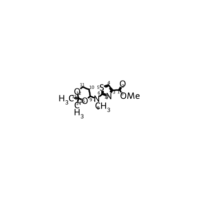 COC(=O)c1csc(N(C)C2CCOC(C)(C)O2)n1